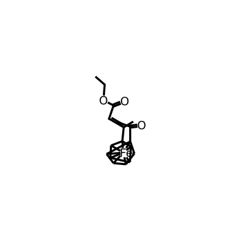 CCOC(=O)C=C(C)[C]12[CH]3[CH]4[CH]5[CH]1[Fe]45321678[CH]2[CH]1[CH]6[C]7(C(C)=O)[CH]28